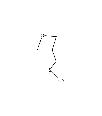 N#CSCC1COC1